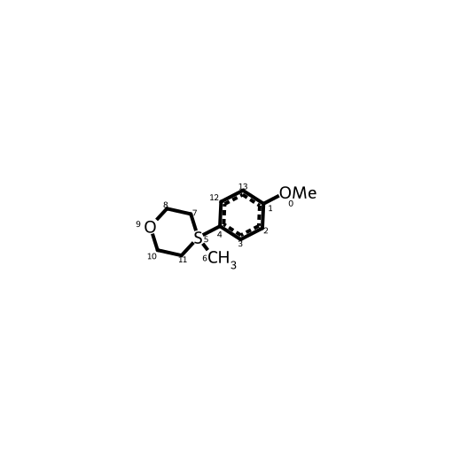 COc1ccc(S2(C)CCOCC2)cc1